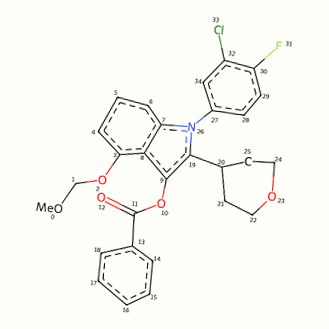 COCOc1cccc2c1c(OC(=O)c1ccccc1)c(C1CCOCC1)n2-c1ccc(F)c(Cl)c1